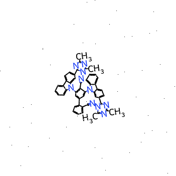 Cc1nc(C)nc(-c2ccc3c4ccccc4n(-c4cc(-c5ccccc5C#N)cc(-n5c6ccccc6c6ccc(-c7nc(C)nc(C)n7)cc65)c4C#N)c3c2)n1